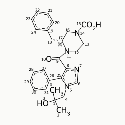 CC(C)(O)Cn1cnc(C(=O)N2CCN(C(=O)O)C[C@H]2Cc2ccccc2)c1-c1ccccc1